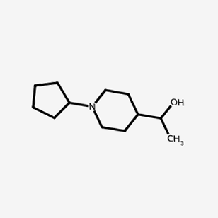 CC(O)C1CCN(C2CCCC2)CC1